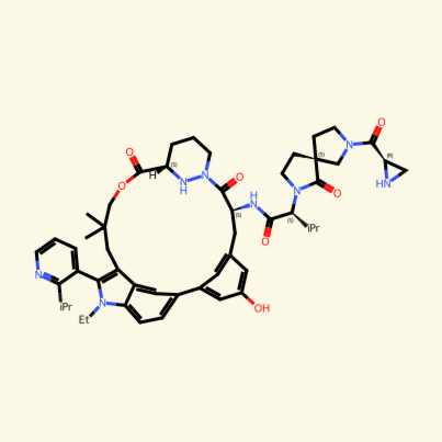 CCn1c(-c2cccnc2C(C)C)c2c3cc(ccc31)-c1cc(O)cc(c1)C[C@H](NC(=O)[C@H](C(C)C)N1CC[C@]3(CCN(C(=O)[C@H]4CN4)C3)C1=O)C(=O)N1CCC[C@H](N1)C(=O)OCC(C)(C)C2